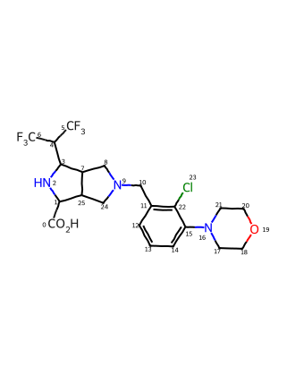 O=C(O)C1NC(C(C(F)(F)F)C(F)(F)F)C2CN(Cc3cccc(N4CCOCC4)c3Cl)CC12